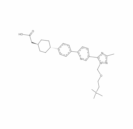 Cc1nc(-c2ccc(-c3ccc([C@H]4CC[C@H](CC(=O)O)CC4)cc3)nc2)n(COCCS(C)(C)C)n1